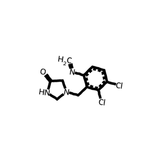 C=Nc1ccc(Cl)c(Cl)c1CN1CNC(=O)C1